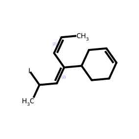 C/C=C\C(=C/C(C)I)C1CC=CCC1